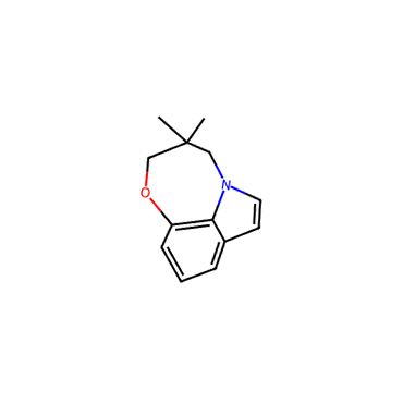 CC1(C)COc2cccc3ccn(c23)C1